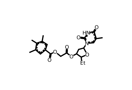 CCC1OC(n2cc(C)c(=O)[nH]c2=O)CC1OC(=O)COC(=O)c1cc(C)c(C)c(C)c1